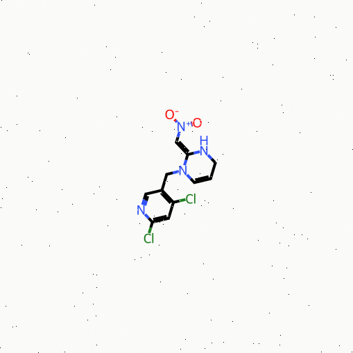 O=[N+]([O-])C=C1NCC=CN1Cc1cnc(Cl)cc1Cl